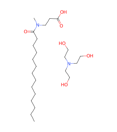 CCCCCCCCCCCCCC(=O)N(C)CCC(=O)O.OCCN(CCO)CCO